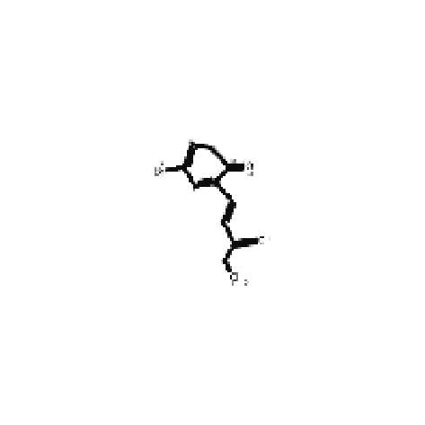 CCC(=O)C=CC1=CC(Br)=CCC1=O